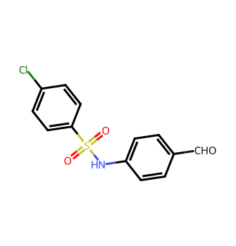 O=Cc1ccc(NS(=O)(=O)c2ccc(Cl)cc2)cc1